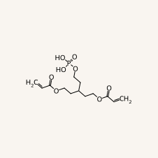 C=CC(=O)OCCC(CCOC(=O)C=C)CCOP(=O)(O)O